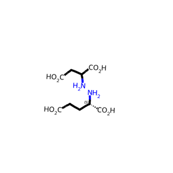 NC(CC(=O)O)C(=O)O.N[C@@H](CCC(=O)O)C(=O)O